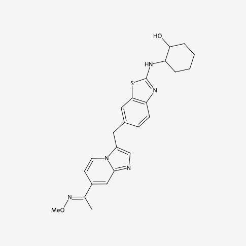 CO/N=C(\C)c1ccn2c(Cc3ccc4nc(NC5CCCCC5O)sc4c3)cnc2c1